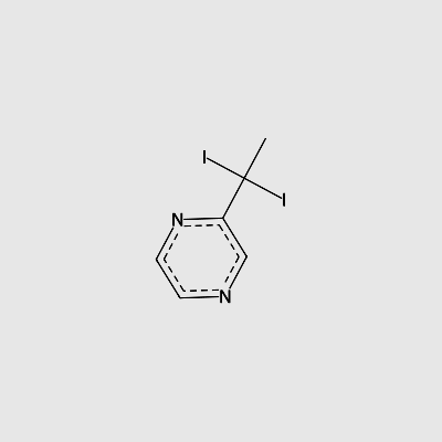 CC(I)(I)c1cnccn1